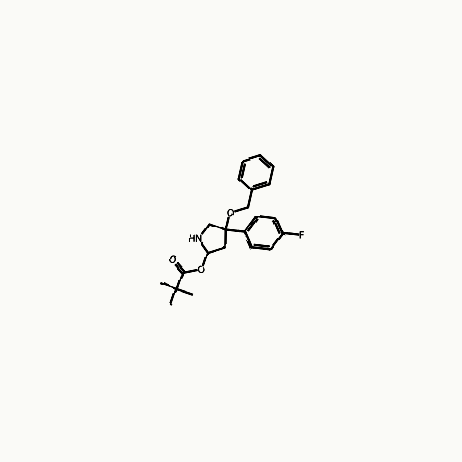 CC(C)(C)C(=O)OC1CC(OCc2ccccc2)(c2ccc(F)cc2)CN1